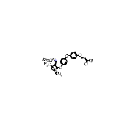 CO/N=C\c1c(C(F)(F)F)nn(C)c1Oc1ccc(Oc2ccc(OCC=C(Cl)Cl)cc2)cc1